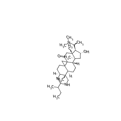 CCC(C)C1=N[C@H]2CCC34CC35C(=O)C[C@]3(C)[C@@H]([C@H](C)N(C)C)[C@H](O)C[C@@]3(C)[C@@H]5CC[C@H]4[C@]2(C)CN1